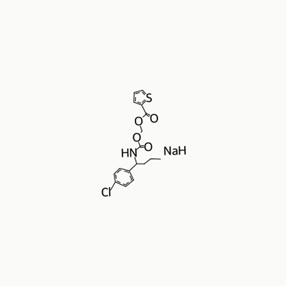 CCCC(NC(=O)OCOC(=O)c1cccs1)c1ccc(Cl)cc1.[NaH]